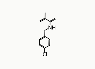 C=C(C)C(=C)NCc1ccc(Cl)cc1